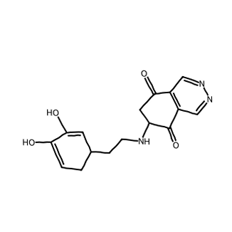 O=C1CC(NCCC2C=C(O)C(O)=CC2)C(=O)c2cnncc21